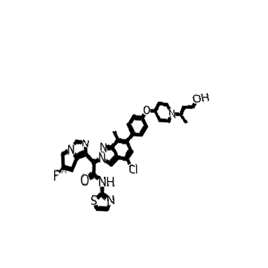 Cc1c(-c2ccc(OC3CCN(C(C)CCO)CC3)cc2)cc(Cl)c2cn(C(C(=O)Nc3nccs3)c3ncn4c3C[C@@H](F)C4)nc12